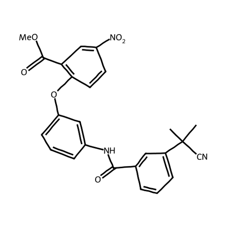 COC(=O)c1cc([N+](=O)[O-])ccc1Oc1cccc(NC(=O)c2cccc(C(C)(C)C#N)c2)c1